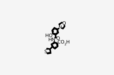 O=C(Nc1cc(C2C=CSC2)ccc1C(=O)O)c1cc(N2CCOCC2)ccc1O